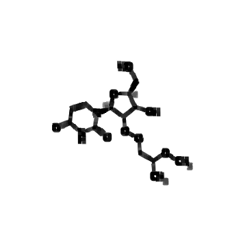 COC(C)COOC1C(O)[C@H](CO)O[C@@H]1n1ccc(=O)[nH]c1=O